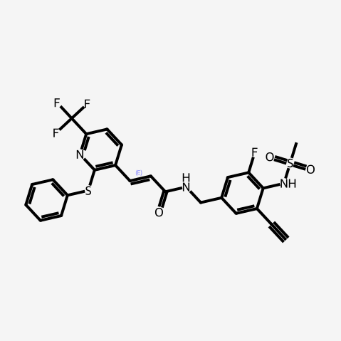 C#Cc1cc(CNC(=O)/C=C/c2ccc(C(F)(F)F)nc2Sc2ccccc2)cc(F)c1NS(C)(=O)=O